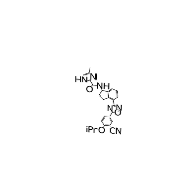 Cc1c[nH]c(C(=O)N[C@H]2CCc3c(-c4noc(-c5ccc(OC(C)C)c(C#N)c5)n4)cccc32)n1